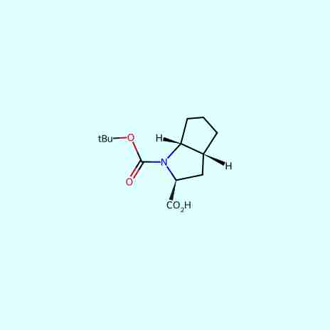 CC(C)(C)OC(=O)N1[C@@H]2CCC[C@@H]2C[C@H]1C(=O)O